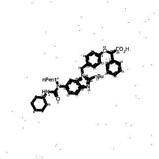 CCCCCN(C(=O)NC1CCCCC1)c1ccc2nc(CCCC)n(Cc3ccc(OC(C(=O)O)c4ccccc4)cc3)c2c1